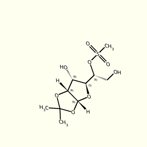 CC1(C)O[C@H]2O[C@H]([C@@H](CO)OS(C)(=O)=O)[C@@H](O)[C@H]2O1